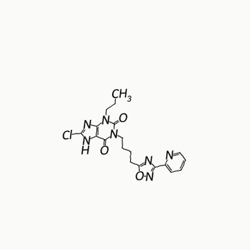 CCCn1c(=O)n(CCCCc2nc(-c3ccccn3)no2)c(=O)c2[nH]c(Cl)nc21